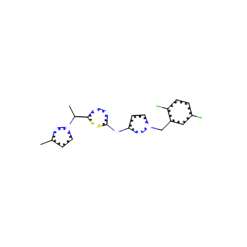 Cc1ccn(C(C)c2nnc(Nc3ccn(Cc4cc(Cl)ccc4Cl)n3)s2)n1